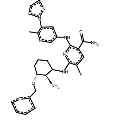 Cc1ncc(Nc2nc(NC3CCC[C@@H](OCc4ccccc4)[C@@H]3N)c(F)cc2C(N)=O)cc1-n1nccn1